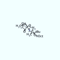 CCCCCCCCON(C(C)(C)C)C(C)(C)/C=C1\COC2=C1C(=O)CC(C)(C)C2